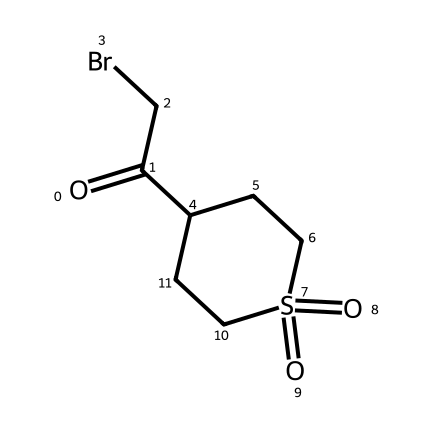 O=C(CBr)C1CCS(=O)(=O)CC1